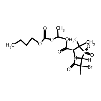 CCCCOC(=O)OC(C)OC(=O)[C@@H]1N2C(=O)[C@@](Br)(I)[C@H]2S(=O)(=O)C1(C)C